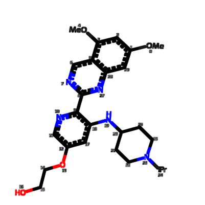 COc1cc(OC)c2cnc(-c3ncc(OCCO)cc3NC3CCN(C(C)C)CC3)nc2c1